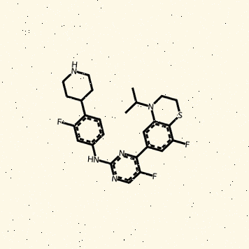 CC(C)N1CCSc2c(F)cc(-c3nc(Nc4ccc(C5CCNCC5)c(F)c4)ncc3F)cc21